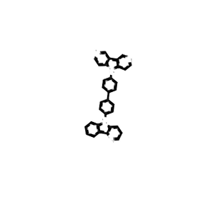 c1ccc2c(c1)c1ncccc1n2-c1ccc(-c2ccc(-n3c4ccncc4c4cnccc43)cc2)cc1